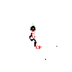 OCC#CC[C@@H]1CCC[C@@H](COc2ccc(F)cc2)O1